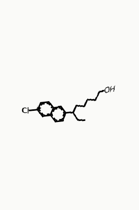 CCC(CCCCCO)c1ccc2cc(Cl)ccc2c1